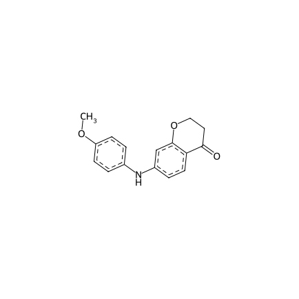 COc1ccc(Nc2ccc3c(c2)OCCC3=O)cc1